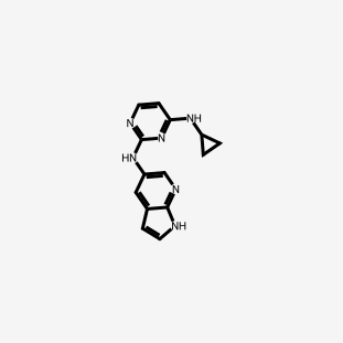 c1cc(NC2CC2)nc(Nc2cnc3[nH]ccc3c2)n1